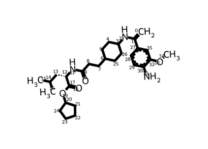 C=C(NC1CCC(CCC(=O)N[C@@H](CC(C)C)C(=O)OC2CCCC2)CC1)c1ccc(N)c(OC)c1